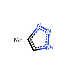 [Na].c1c[nH]nn1